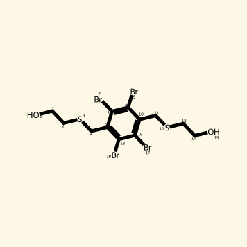 OCCSCc1c(Br)c(Br)c(CSCCO)c(Br)c1Br